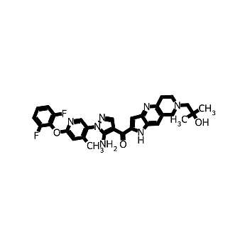 Cc1cc(Oc2c(F)cccc2F)ncc1-n1ncc(C(=O)c2cc3nc4c(cc3[nH]2)CN(CC(C)(C)O)CC4)c1N